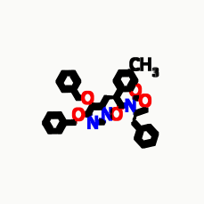 Cc1ccc([C@H](Cc2ncnc(OCc3ccccc3)c2OCc2ccccc2)C(=O)N2C(=O)OC[C@@H]2Cc2ccccc2)cc1